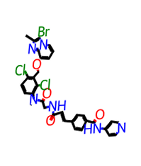 Cc1nc2c(OCc3c(Cl)ccc(N(C)C(=O)CNC(=O)C=Cc4ccc(C(=O)Nc5ccncc5)cc4)c3Cl)cccn2c1Br